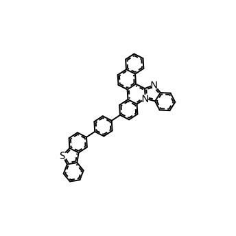 c1ccc2c(c1)ccc1c3cc(-c4ccc(-c5ccc6sc7ccccc7c6c5)cc4)ccc3n3c4ccccc4nc3c21